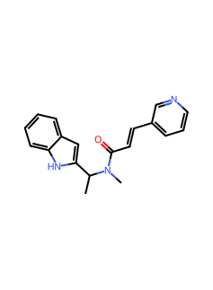 CC(c1cc2ccccc2[nH]1)N(C)C(=O)C=Cc1cccnc1